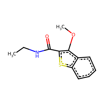 CCNC(=O)c1sc2ccccc2c1OC